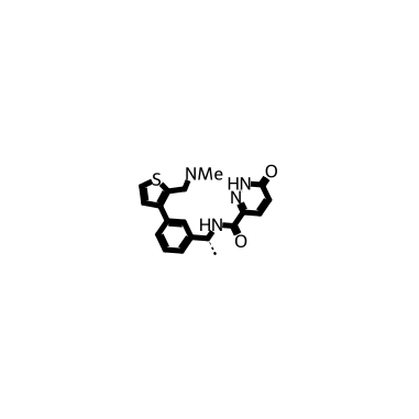 CNCc1sccc1-c1cccc([C@@H](C)NC(=O)c2ccc(=O)[nH]n2)c1